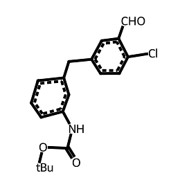 CC(C)(C)OC(=O)Nc1cccc(Cc2ccc(Cl)c(C=O)c2)c1